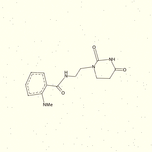 CNc1ccccc1C(=O)NCCN1CCC(=O)NC1=O